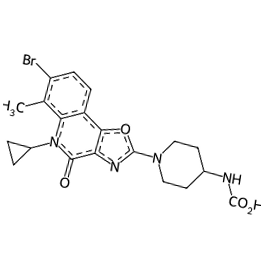 Cc1c(Br)ccc2c3oc(N4CCC(NC(=O)O)CC4)nc3c(=O)n(C3CC3)c12